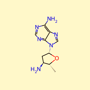 C[C@H]1O[C@@H](n2cnc3c(N)ncnc32)C[C@@H]1N